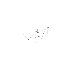 CC(C)(C)OC(=O)NCCN(CC(=O)O)C(=O)CN(CCNC(=O)OC(C)(C)C)C(=O)OC(C)(C)C